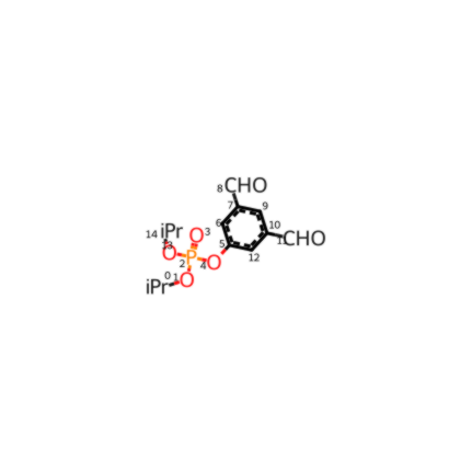 CC(C)OP(=O)(Oc1cc(C=O)cc(C=O)c1)OC(C)C